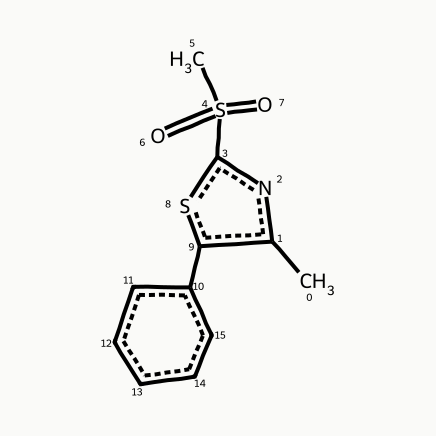 Cc1nc(S(C)(=O)=O)sc1-c1ccccc1